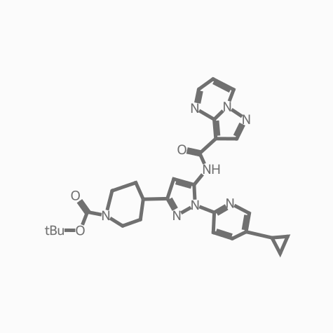 CC(C)(C)OC(=O)N1CCC(c2cc(NC(=O)c3cnn4cccnc34)n(-c3ccc(C4CC4)cn3)n2)CC1